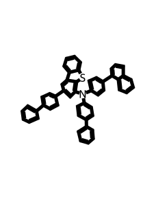 c1ccc(-c2ccc(-c3cc(N(c4ccc(-c5ccccc5)cc4)c4ccc(-c5cccc6ccccc56)cc4)c4sc5ccccc5c4c3)cc2)cc1